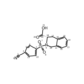 N#Cc1ccc(S(=O)(=O)N2Cc3ccccc3C[C@H]2C(=O)O)cc1